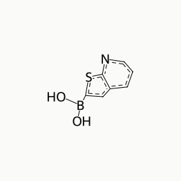 OB(O)c1cc2cccnc2s1